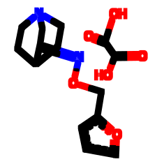 O=C(O)C(=O)O.c1coc(CON=C2CN3CCC2CC3)c1